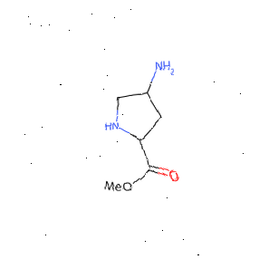 COC(=O)C1CC(N)CN1